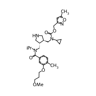 COCCCOc1cc(C(=O)N(C[C@@H]2CNC[C@H]2CN(C(=O)OCc2cc(C)on2)C2CC2)C(C)C)ccc1C